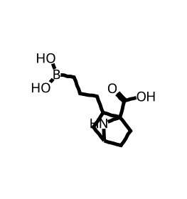 O=C(O)C12CCC(CC1CCCB(O)O)N2